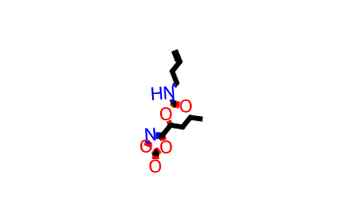 C=CCCNC(=O)OC(CCC)c1noc(=O)o1